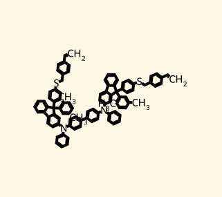 C=Cc1ccc(CSc2ccc(C3(c4cc(C)ccc4C)c4ccccc4-c4ccc(N(c5ccccc5)c5ccc(-c6ccc(N(c7ccccc7)c7ccc8c(c7)C(c7ccc(SCc9ccc(C=C)cc9)cc7)(c7cc(C)ccc7C)c7ccccc7-8)cc6)cc5)cc43)cc2)cc1